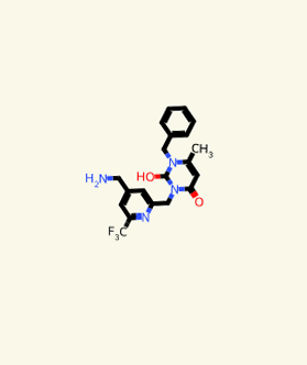 CC1=CC(=O)N(Cc2cc(CN)cc(C(F)(F)F)n2)C(O)N1Cc1ccccc1